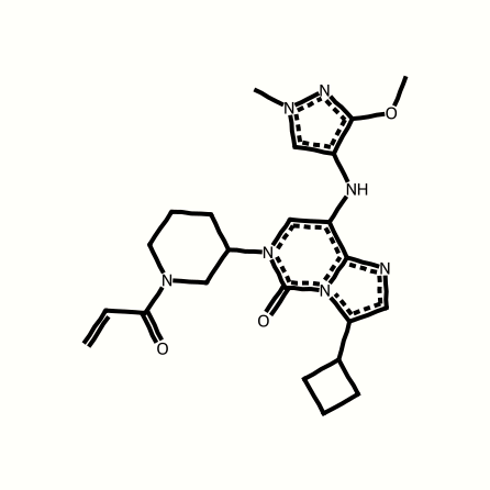 C=CC(=O)N1CCCC(n2cc(Nc3cn(C)nc3OC)c3ncc(C4CCC4)n3c2=O)C1